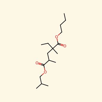 CCCCOC(=O)C(C)(CC)CC(C)C(=O)OCC(C)C